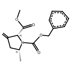 C=C1C[C@@H](C)N(C(=O)OCc2ccccc2)[C@H]1C(=O)OC